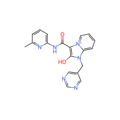 Cc1cccc(NC(=O)c2c(O)n(Cc3cncnc3)c3cccc[n+]23)n1